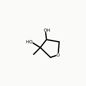 CC1(O)COCC1O